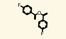 C=C(OC(=C)c1ccc(F)cc1)c1ccc(F)cc1